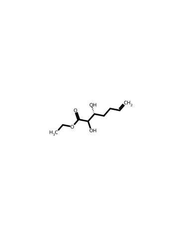 C=CCC[C@@H](O)C(O)C(=O)OCC